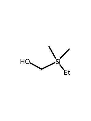 CC[Si](C)(C)CO